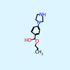 C=CCOC(O)c1ccc(N2CCNCC2)cc1